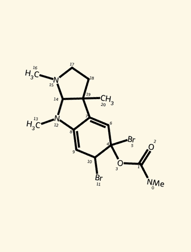 CNC(=O)OC1(Br)C=C2C(=CC1Br)N(C)C1N(C)CCC21C